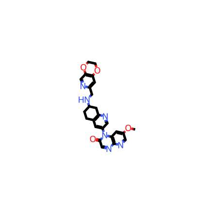 COc1cnc2ncc(=O)n(-c3cnc4c(c3)CCC(NCc3cc5c(cn3)OCCO5)C4)c2c1